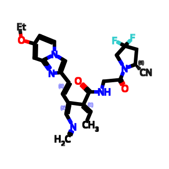 C=N/C=C(/C=C/c1cn2ccc(OCC)cc2n1)C(=C/C)\C(=O)NCC(=O)N1CC(F)(F)C[C@H]1C#N